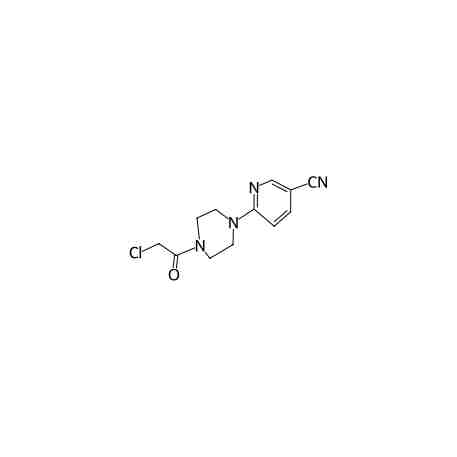 N#Cc1ccc(N2CCN(C(=O)CCl)CC2)nc1